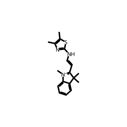 Cc1nc(NC=CC2=[N+](C)c3ccccc3C2(C)C)sc1C